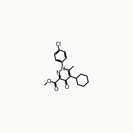 COC(=O)c1nn(-c2ccc(Cl)cc2)c(C)c(C2CCCCC2)c1=O